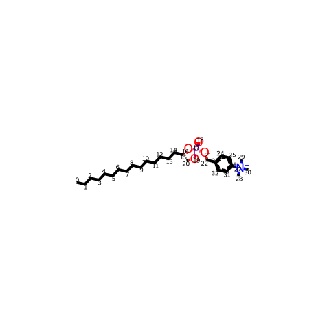 CCCCCCCCCCCCCCCCOP(=O)(OC)OCc1ccc([N+](C)(C)C)cc1